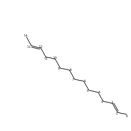 CC=CCCCCCCCCCC=CC